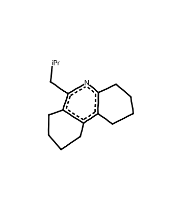 CC(C)Cc1nc2c(c3c1CCCC3)CCCC2